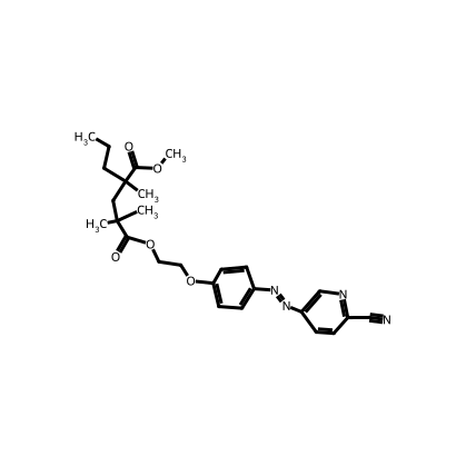 CCCC(C)(CC(C)(C)C(=O)OCCOc1ccc(/N=N/c2ccc(C#N)nc2)cc1)C(=O)OC